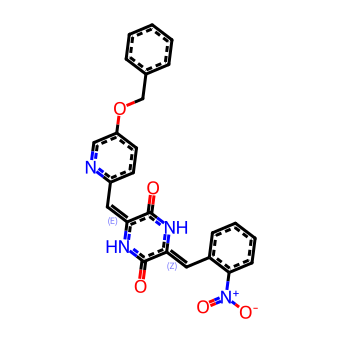 O=c1[nH]/c(=C/c2ccc(OCc3ccccc3)cn2)c(=O)[nH]/c1=C\c1ccccc1[N+](=O)[O-]